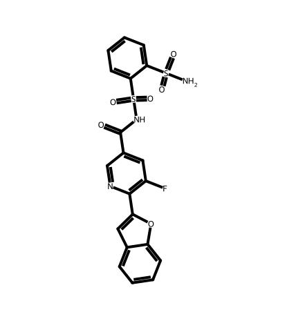 NS(=O)(=O)c1ccccc1S(=O)(=O)NC(=O)c1cnc(-c2cc3ccccc3o2)c(F)c1